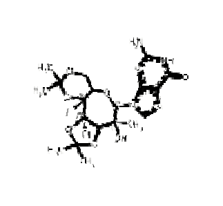 CC1(C)OCC2O[C@@H](n3cnc4c(=O)[nH]c(N)nc43)[C@](C)(O)C3OC(C)(C)O[C@H]3[C@@H]2O1